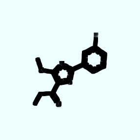 CCC(=O)c1sc(-c2cccc(F)c2)nc1OC